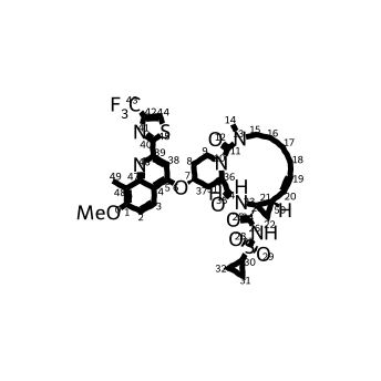 COc1ccc2c(O[C@H]3CCN4C(=O)N(C)CCCC/C=C\[C@@H]5C[C@@]5(C(=O)NS(=O)(=O)C5CC5)NC(=O)[C@@H]4C3)cc(-c3nc(C(F)(F)F)cs3)nc2c1C